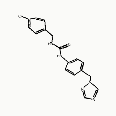 O=C(NCc1ccc(Cl)cc1)Nc1ccc(Cn2cncn2)cc1